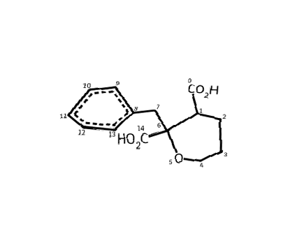 O=C(O)C1CCCOC1(Cc1ccccc1)C(=O)O